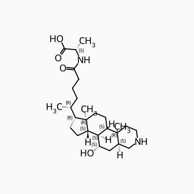 C[C@H](NC(=O)CCC[C@@H](C)[C@H]1CC[C@H]2[C@@H]3[C@@H](O)C[C@@H]4CNCC[C@]4(C)[C@H]3CC[C@]12C)C(=O)O